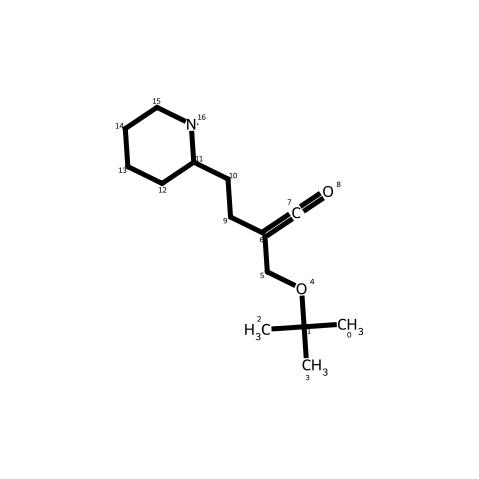 CC(C)(C)OCC(=C=O)CCC1CCCC[N]1